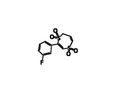 O=S1(=O)C=CCS(=O)(=O)C(c2cccc(F)c2)=C1